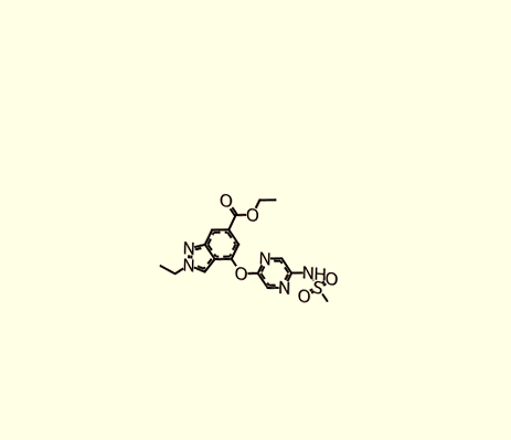 CCOC(=O)c1cc(Oc2cnc(NS(C)(=O)=O)cn2)c2cn(CC)nc2c1